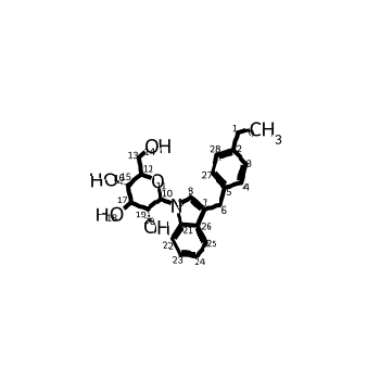 CCc1ccc(Cc2cn(C3OC(CO)[C@@H](O)C(O)[C@H]3O)c3ccccc23)cc1